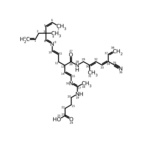 C=CCC(C)(/C=C\C)/C=N/C=C/CC(/C=C/N=C(\C)NCCCC(=O)O)C(=O)NC/C(C)=C/C=C(/C#N)C=C